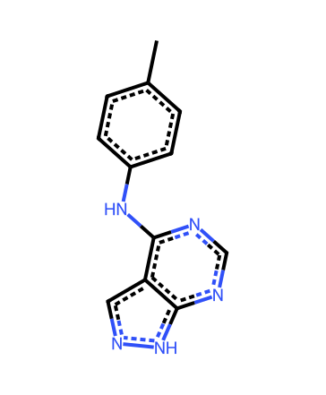 Cc1ccc(Nc2ncnc3[nH]ncc23)cc1